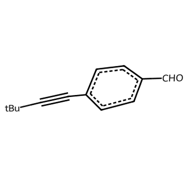 CC(C)(C)C#Cc1ccc(C=O)cc1